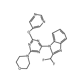 FC(F)c1nc2ccccc2n1-c1nc(Oc2cncnc2)nc(N2CCOCC2)n1